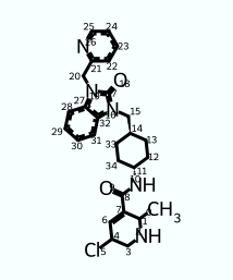 CC1NCC(Cl)C=C1C(=O)N[C@H]1CC[C@H](Cn2c(=O)n(Cc3ccccn3)c3ccccc32)CC1